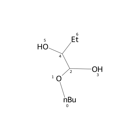 CCCCOC(O)C(O)CC